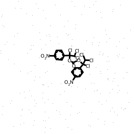 O=C(OC(Cl)(c1ccc([N+](=O)[O-])cc1)C(Cl)Cl)OC(Cl)(c1ccc([N+](=O)[O-])cc1)C(Cl)Cl